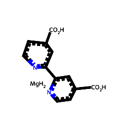 O=C(O)c1ccnc(-c2cc(C(=O)O)ccn2)c1.[MgH2]